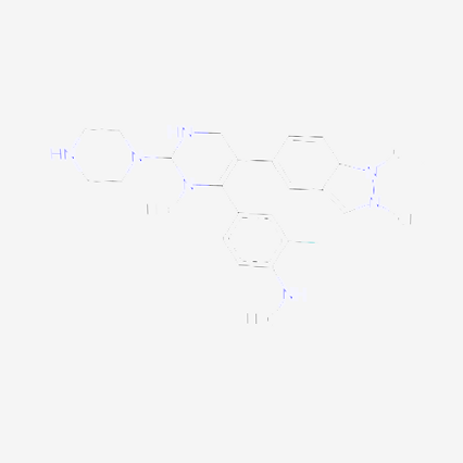 CNc1ccc(C2=C(C3=CC4=CN(C)N(C)C4C=C3)CNC(N3CCNCC3)N2C)cc1F